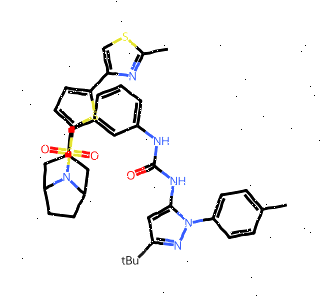 Cc1ccc(-n2nc(C(C)(C)C)cc2NC(=O)Nc2cccc(CC3CC4CCC(C3)N4S(=O)(=O)c3ccc(-c4csc(C)n4)s3)c2)cc1